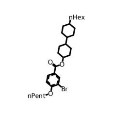 CCCCCCC1CCC(C2CCC(OC(=O)c3ccc(OCCCCC)c(Br)c3)CC2)CC1